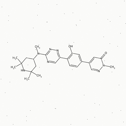 CN(c1ncc(-c2ccc(-c3cnn(C)c(=O)c3)cc2O)nn1)C1CC(C)(C)NC(C)(C)C1